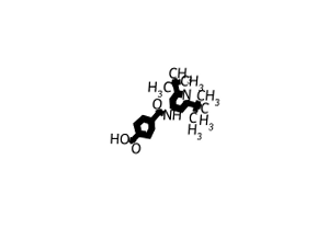 CC(C)(C)c1cc(NC(=O)c2ccc(C(=O)O)cc2)cc(C(C)(C)C)n1